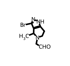 CC1c2c(Br)n[nH]c2CCN1CC=O